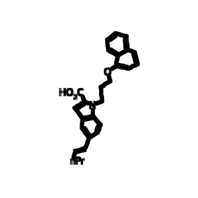 CCCC=Cc1ccc2c(c1)cc(C(=O)O)n2CCCOc1cccc2ccccc12